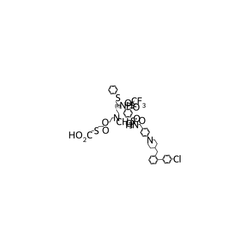 CN(CCOC(=O)CSCC(=O)O)CC[C@H](CSc1ccccc1)Nc1ccc(S(=O)(=O)NC(=O)c2ccc(N3CCC(Cc4ccccc4-c4ccc(Cl)cc4)CC3)cc2)cc1S(=O)(=O)C(F)(F)F